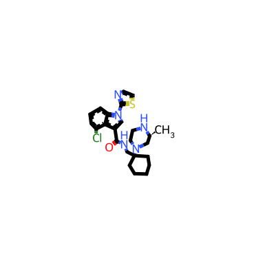 C[C@@H]1CN(C2(CNC(=O)c3cn(-c4nccs4)c4cccc(Cl)c34)CCCCC2)CCN1